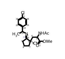 COC(=O)C(C[C@@]1(C#N)CCC/C1=N\C(C)c1ccc(Cl)cc1)NC(C)=O